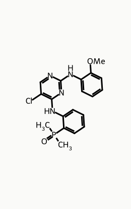 COc1ccccc1Nc1ncc(Cl)c(Nc2ccccc2P(C)(C)=O)n1